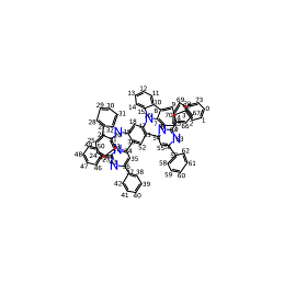 c1ccc(-c2ccc3c(c2)c2ccccc2n3-c2cc(-n3c4ccccc4c4ccccc43)c(-c3cc(-c4ccccc4)nc(-c4ccccc4)n3)cc2-c2cc(-c3ccccc3)nc(-c3ccccc3)n2)cc1